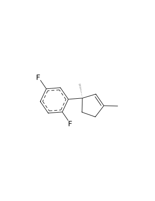 CC1=C[C@](C)(c2cc(F)ccc2F)CC1